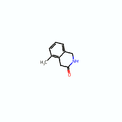 Cc1cccc2c1CC(=O)NC2